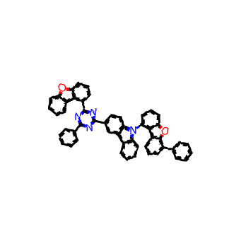 c1ccc(-c2nc(-c3ccc4c(c3)c3ccccc3n4-c3cccc4oc5c(-c6ccccc6)cccc5c34)nc(-c3cccc4oc5ccccc5c34)n2)cc1